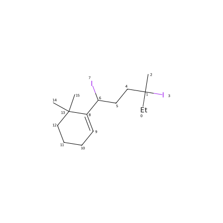 CCC(C)(I)CCC(I)C1=CCCCC1(C)C